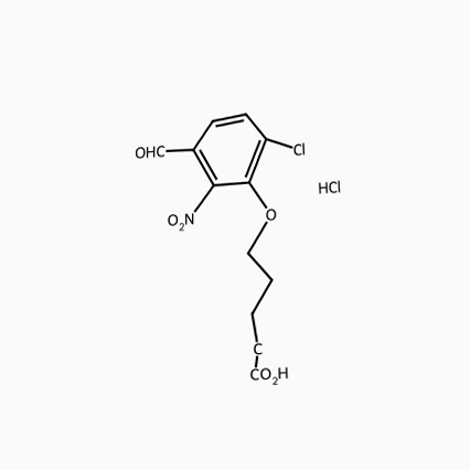 Cl.O=Cc1ccc(Cl)c(OCCCCC(=O)O)c1[N+](=O)[O-]